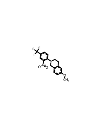 COc1ccc2c(c1)CCN(c1ccc(C(F)(F)F)cc1[N+](=O)[O-])C2